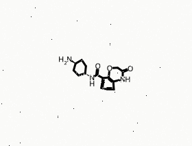 N[C@H]1CC[C@H](NC(=O)c2cccc3c2OCC(=O)N3)CC1